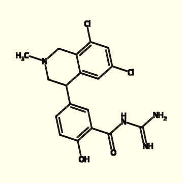 CN1Cc2c(Cl)cc(Cl)cc2C(c2ccc(O)c(C(=O)NC(=N)N)c2)C1